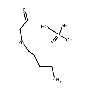 C=C[CH2][Zn][CH2]CCCC.OP(O)(=S)S